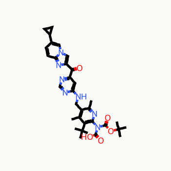 Cc1nc(N(C(=O)O)C(=O)OC(C)(C)C)c(C(C)(C)C)c(C)c1CNc1cc(C(=O)c2cn3cc(C4CC4)ccc3n2)ncn1